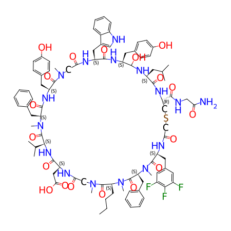 CCCC[C@H]1C(=O)N(C)CC(=O)N[C@@H](CC(=O)O)C(=O)N[C@@H](C(C)C)C(=O)N(C)[C@@H](Cc2ccccc2)C(=O)N[C@@H](Cc2ccc(O)cc2)C(=O)N(C)CC(=O)N[C@@H](Cc2c[nH]c3ccccc23)C(=O)N[C@@H](Cc2ccc(O)cc2)C(O)N[C@@H](CC(C)C)C(=O)N[C@H](C(=O)NCC(N)=O)CSCC(=O)N[C@@H](Cc2cc(F)c(F)c(F)c2)C(=O)N(C)[C@@H](Cc2ccccc2)C(=O)N1C